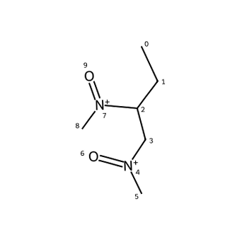 CCC(C[N+](C)=O)[N+](C)=O